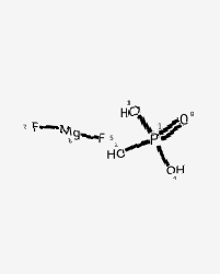 O=P(O)(O)O.[F][Mg][F]